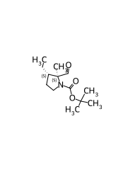 CC[C@H]1CCN(C(=O)OC(C)(C)C)[C@]1(C)C=O